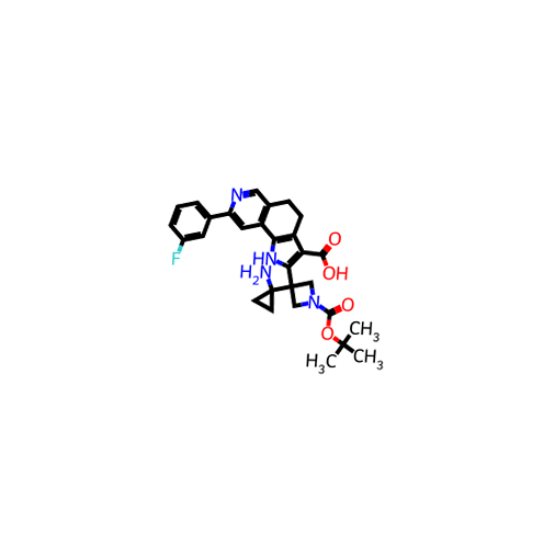 CC(C)(C)OC(=O)N1CC(c2[nH]c3c(c2C(=O)O)CCc2cnc(-c4cccc(F)c4)cc2-3)(C2(N)CC2)C1